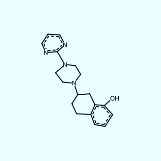 Oc1cccc2c1CC(N1CCN(c3ncccn3)CC1)CC2